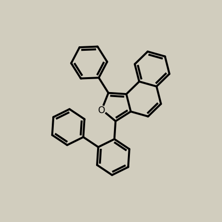 c1ccc(-c2ccccc2-c2oc(-c3ccccc3)c3c2ccc2ccccc23)cc1